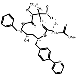 COC(=O)N[C@H](C(=O)N[C@@H](Cc1ccc(-c2ccccn2)cc1)C[C@H](O)[C@H](Cc1ccccc1)NC(=O)[C@@H](NC(=O)O)C(C)(C)[S+](C)[O-])C(C)(C)C